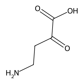 NCCC(=O)C(=O)O